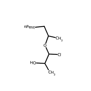 CCCCCCC(C)OC(Cl)C(C)O